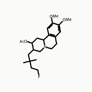 COc1cc2c(cc1OC)C1CC(OC(C)=O)C(CC(C)(C)CCF)CN1CC2